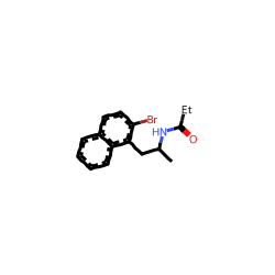 CCC(=O)NC(C)Cc1c(Br)ccc2ccccc12